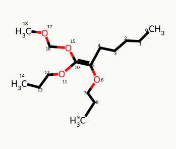 CCCCCC(OCCC)=C(OCCC)OCOC